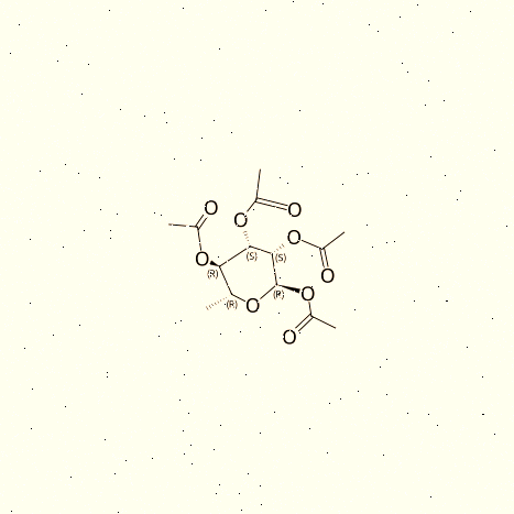 CC(=O)O[C@H]1O[C@H](C)[C@@H](OC(C)=O)[C@H](OC(C)=O)[C@@H]1OC(C)=O